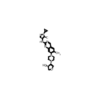 Cc1cc2cnc(Nc3cnn(C4CC4)c3Cl)nc2cc1N1CCN([C@H]2COC[C@H]2O)CC1